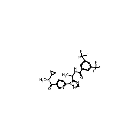 CC(NC(=O)c1cc(C(F)(F)F)cc(C(F)(F)F)c1)c1ncnn1-c1ccc(C(=O)N(C)C2CC2)cn1